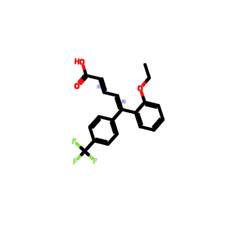 CCOc1ccccc1/C(=C/C=C/C(=O)O)c1ccc(C(F)(F)F)cc1